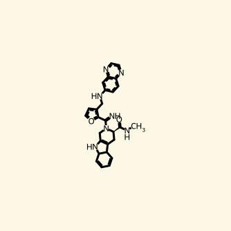 CNC(=O)[C@H]1CC2=C(CN1C(=N)c1occc1CNc1ccc3nccnc3c1)NC1C=CC=CC21